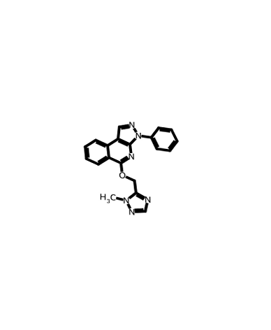 Cn1ncnc1COc1nc2c(cnn2-c2ccccc2)c2ccccc12